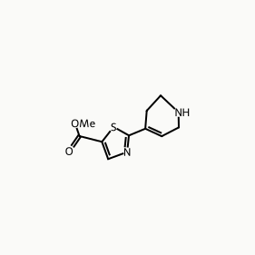 COC(=O)c1cnc(C2=CCNCC2)s1